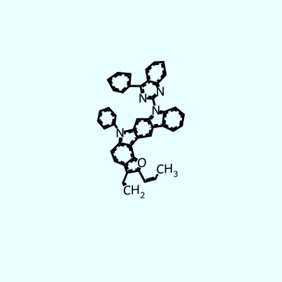 C=Cc1c(/C=C\C)oc2c1ccc1c2c2cc3c4ccccc4n(-c4nc(-c5ccccc5)c5ccccc5n4)c3cc2n1-c1ccccc1